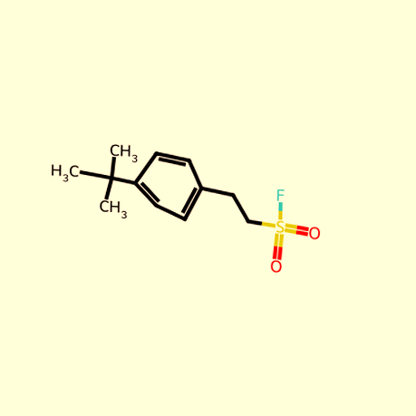 CC(C)(C)c1ccc(CCS(=O)(=O)F)cc1